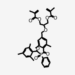 C=C(C)C(=O)OCC(COC(=O)C(=C)C)OCc1cc(C)c(C(=O)P(=O)(C(=O)c2c(C)cc(C)cc2C)c2ccccc2)c(C)c1